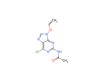 C=COn1cnc2c(Cl)nc(NC(C)=O)nc21